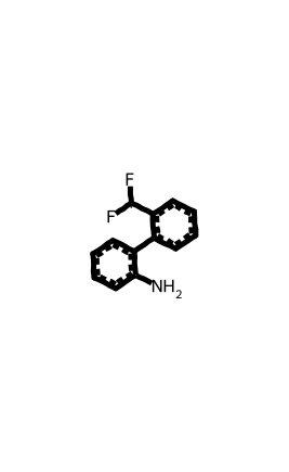 Nc1ccccc1-c1ccccc1[C](F)F